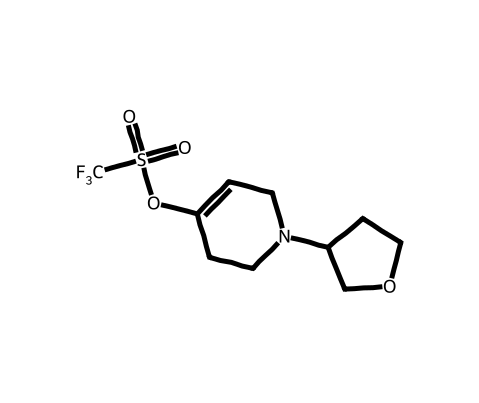 O=S(=O)(OC1=CCN(C2CCOC2)CC1)C(F)(F)F